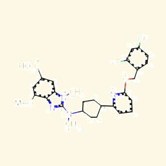 COc1cc(C(=O)O)cc2c1nc(N(C)C1CCC(c3cccc(OCc4ccc(Cl)cc4F)n3)CC1)n2C